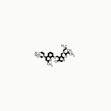 C=CN(/C=C\C)c1cc(C)nc2c(OCc3c(Cl)cncc3CN(CCC)C(=O)C(C)C)cccc12